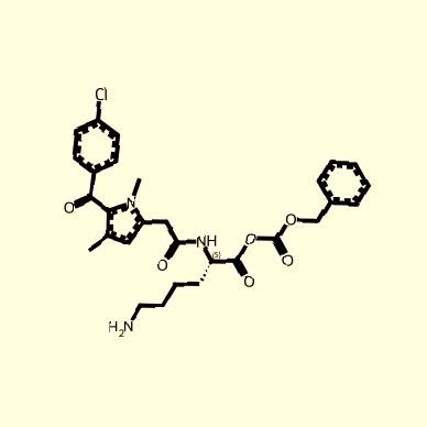 Cc1cc(CC(=O)N[C@@H](CCCCN)C(=O)OC(=O)OCc2ccccc2)n(C)c1C(=O)c1ccc(Cl)cc1